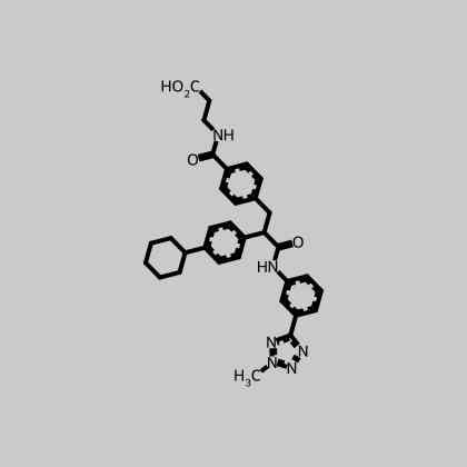 Cn1nnc(-c2cccc(NC(=O)C(Cc3ccc(C(=O)NCCC(=O)O)cc3)c3ccc(C4CCCCC4)cc3)c2)n1